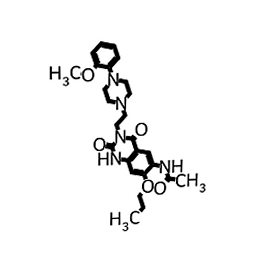 CCCOc1cc2[nH]c(=O)n(CCN3CCN(c4ccccc4OC)CC3)c(=O)c2cc1NC(C)=O